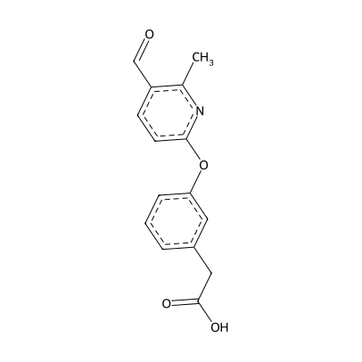 Cc1nc(Oc2cccc(CC(=O)O)c2)ccc1C=O